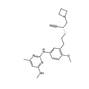 CNc1cc(C)nc(Nc2ccc(OC)c(CCC[C@H](C#N)CN3CCC3)c2)n1